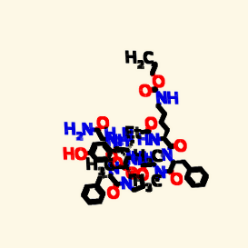 C=CCOC(=O)NCCCC[C@H](NC(=O)CC)C(=O)N(C)[C@@H](Cc1ccccc1)C(=O)N(C)CC(=O)N[C@@H](Cc1ccc(O)cc1)C(=O)N(C)[C@@H](Cc1ccccc1)C(=O)N1CCC[C@H]1C(=O)N[C@@H](CN)C(=O)NCC(N)=O